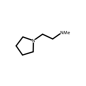 CNCCN1CCCC1